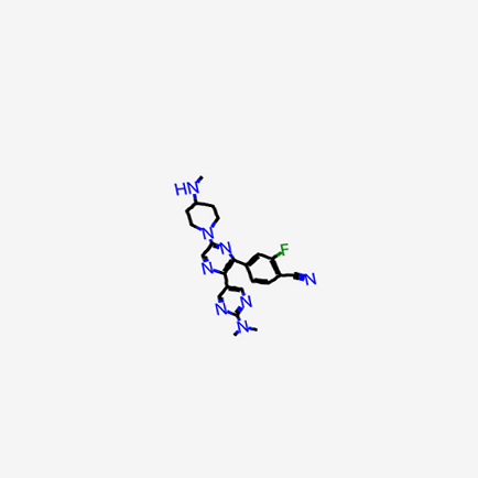 CNC1CCN(c2cnc(-c3cnc(N(C)C)nc3)c(-c3ccc(C#N)c(F)c3)n2)CC1